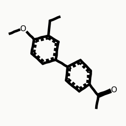 CCc1cc(-c2ccc(C(C)=O)cc2)ccc1OC